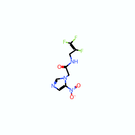 O=C(Cn1cncc1[N+](=O)[O-])NCC(F)=C(F)F